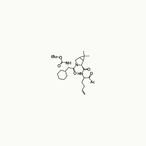 C=CCCC(NC(=O)[C@@H]1C2C(CN1C(=O)[C@@H](NC(=O)OC(C)(C)C)C1CCCCC1)C2(C)C)C(=O)C(C)=O